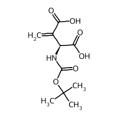 C=C(C(=O)O)[C@H](NC(=O)OC(C)(C)C)C(=O)O